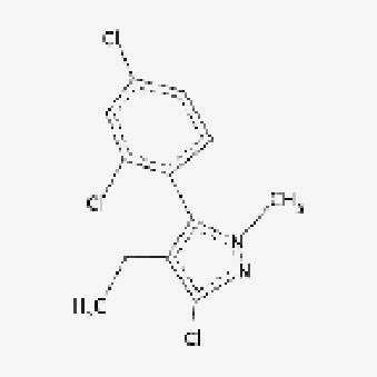 CCc1c(Cl)nn(C)c1-c1ccc(Cl)cc1Cl